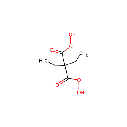 CCC(CC)(C(=O)OO)C(=O)OO